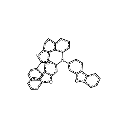 c1ccc(-c2nc3ccc4cccc(N(c5ccc6c(c5)oc5ccccc56)c5ccc6c(c5)oc5ccccc56)c4c3o2)cc1